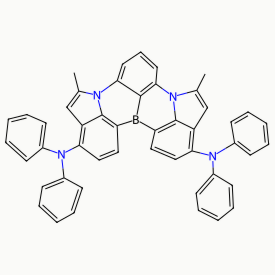 Cc1cc2c(N(c3ccccc3)c3ccccc3)ccc3c2n1-c1cccc2c1B3c1ccc(N(c3ccccc3)c3ccccc3)c3cc(C)n-2c13